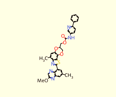 COc1cnc2c(-c3nc4c(C)cc5c(c4s3)OCC(COC(=O)Nc3ccc(-c4ccccc4)nc3)O5)cc(C)cc2n1